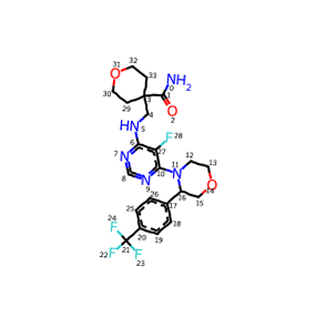 NC(=O)C1(CNc2ncnc(N3CCOCC3c3ccc(C(F)(F)F)cc3)c2F)CCOCC1